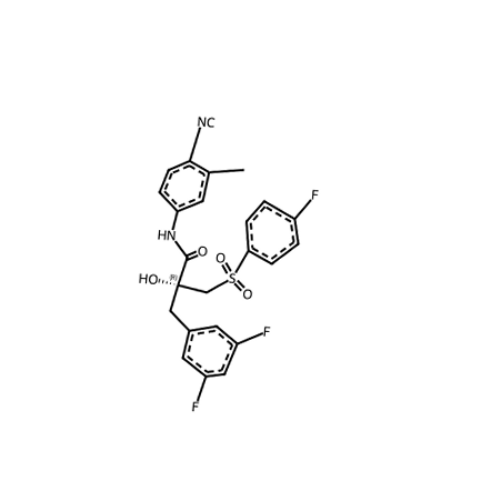 [C-]#[N+]c1ccc(NC(=O)[C@](O)(Cc2cc(F)cc(F)c2)CS(=O)(=O)c2ccc(F)cc2)cc1C